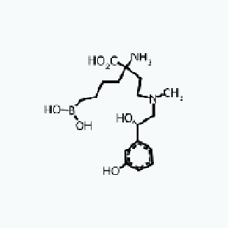 CN(CCC(N)(CCCCB(O)O)C(=O)O)C[C@@H](O)c1cccc(O)c1